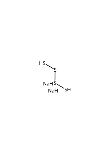 SSSS.[NaH].[NaH]